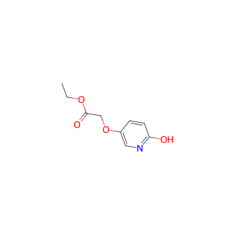 CCOC(=O)COc1ccc(O)nc1